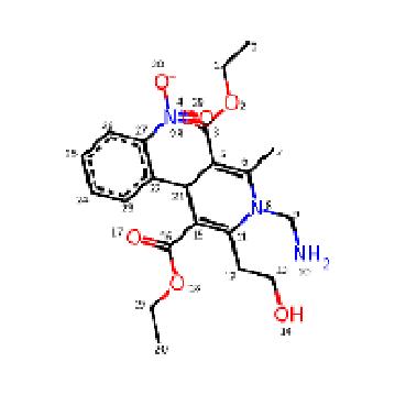 CCOC(=O)C1=C(C)N(CN)C(CCO)=C(C(=O)OCC)C1c1ccccc1[N+](=O)[O-]